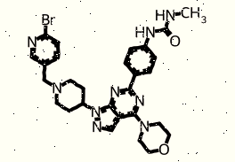 CNC(=O)Nc1ccc(-c2nc(N3CCOCC3)c3cnn(C4CCN(Cc5ccc(Br)nc5)CC4)c3n2)cc1